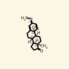 C[C@]12C=C/C(=N/N)C=C1CC[C@@H]1[C@@H]2CC[C@]2(C)C(=O)CC[C@@H]12